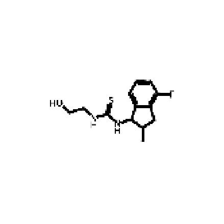 CC1Cc2c(F)cccc2C1NC(=S)NCCO